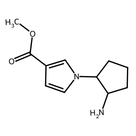 COC(=O)c1ccn(C2CCCC2N)c1